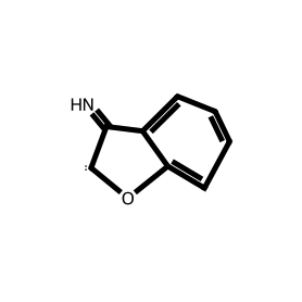 N=C1[C]Oc2ccccc21